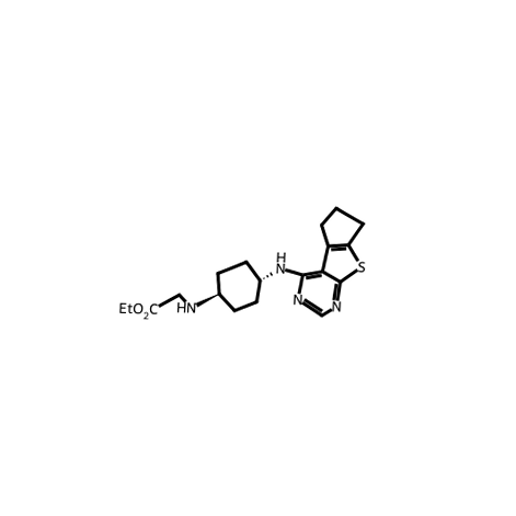 CCOC(=O)CN[C@H]1CC[C@H](Nc2ncnc3sc4c(c23)CCC4)CC1